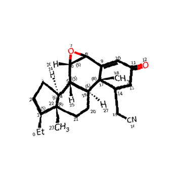 CC[C@H]1CC[C@H]2[C@@H]3[C@@H]4OC4C4=CC(=O)CC(CC#N)[C@]4(C)[C@H]3CC[C@]12C